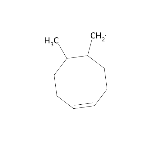 [CH2]C1CCC=CCCC1C